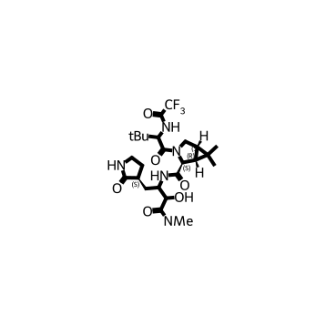 CNC(=O)C(O)C(C[C@@H]1CCNC1=O)NC(=O)[C@@H]1[C@@H]2[C@H](CN1C(=O)C(NC(=O)C(F)(F)F)C(C)(C)C)C2(C)C